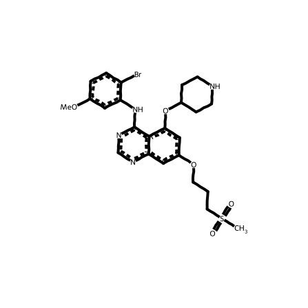 COc1ccc(Br)c(Nc2ncnc3cc(OCCCS(C)(=O)=O)cc(OC4CCNCC4)c23)c1